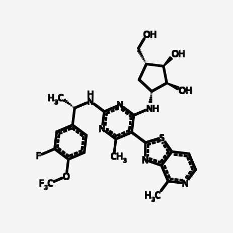 Cc1nc(N[C@@H](C)c2ccc(OC(F)(F)F)c(F)c2)nc(N[C@@H]2C[C@H](CO)[C@@H](O)[C@H]2O)c1-c1nc2c(C)nccc2s1